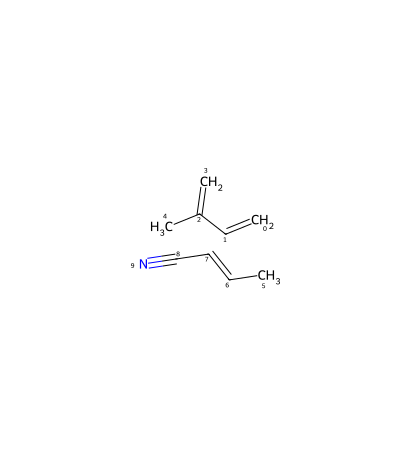 C=CC(=C)C.CC=CC#N